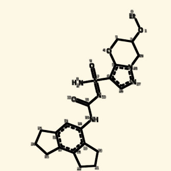 CCOC1COc2c(S(N)(=O)=NC(=O)Nc3cc4c(c5c3CCC5)CCC4)cnn2C1